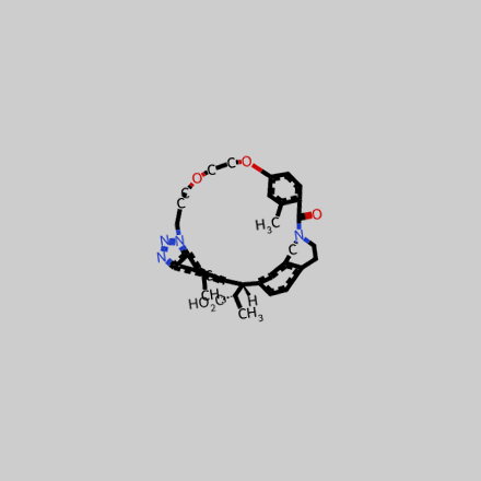 Cc1cc2ccc1C(=O)N1CCc3ccc(cc3C1)[C@H]([C@H](C)C(=O)O)c1ccc3c(nnn3CCCOCCO2)c1C